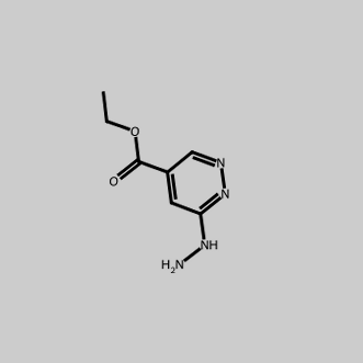 CCOC(=O)c1cnnc(NN)c1